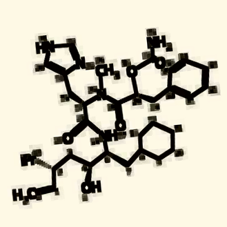 C=C[C@@H](C[C@H](O)[C@H](CC1CCCCC1)NC(=O)[C@@H](Cc1c[nH]cn1)N(C)C(=O)[C@H](Cc1ccccc1)OC(N)=O)C(C)C